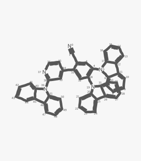 N#Cc1cc(-n2c3ccccc3c3ccccc32)c(-n2c3ccccc3c3ccccc32)cc1-c1ccnc(-n2c3ccccc3c3ccccc32)c1